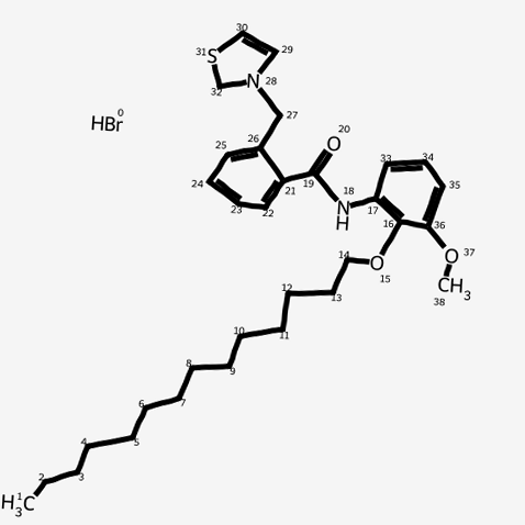 Br.CCCCCCCCCCCCCCOc1c(NC(=O)c2ccccc2CN2C=CSC2)cccc1OC